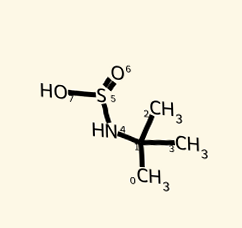 CC(C)(C)NS(=O)O